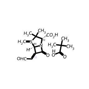 C=S1[C@@H]2/C(=C\C=O)C(=O)N2[C@@H](C(=O)O)C1(C)C.CC(C)(C)C(=O)O